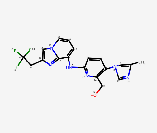 Cc1cn(-c2ccc(Nc3cccn4cc(CC(F)(F)F)nc34)nc2CO)cn1